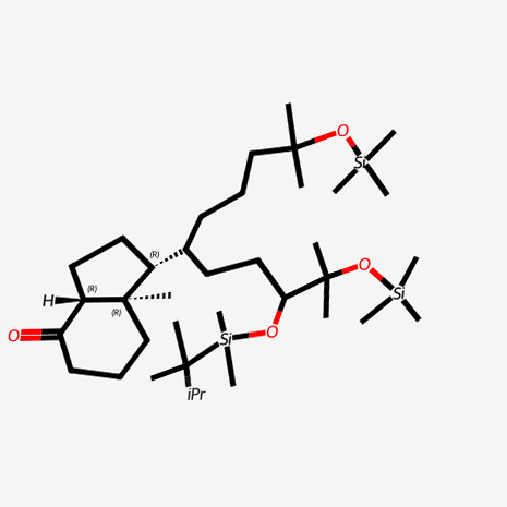 CC(C)C(C)(C)[Si](C)(C)OC(CCC(CCCC(C)(C)O[Si](C)(C)C)[C@H]1CC[C@H]2C(=O)CCC[C@]12C)C(C)(C)O[Si](C)(C)C